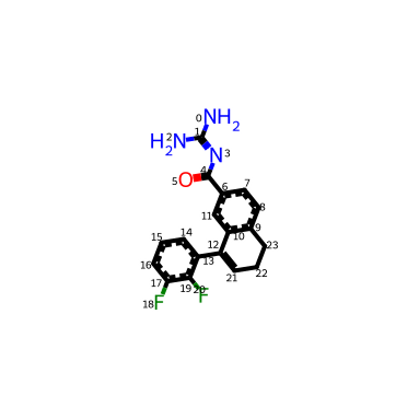 NC(N)=NC(=O)c1ccc2c(c1)C(c1cccc(F)c1F)=CCC2